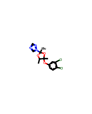 CC1OC(n2cncn2)(C(C)(C)C)OC1(C)Oc1ccc(Cl)c(Cl)c1